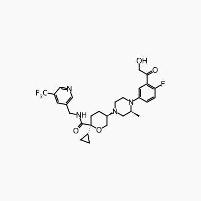 C[C@H]1CN([C@@H]2CC[C@@](C(=O)NCc3cncc(C(F)(F)F)c3)(C3CC3)OC2)CCN1c1ccc(F)c(C(=O)CO)c1